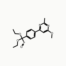 CCOC(OCC)(P=O)c1ccc(-c2cc(OC)nc(C)n2)cc1